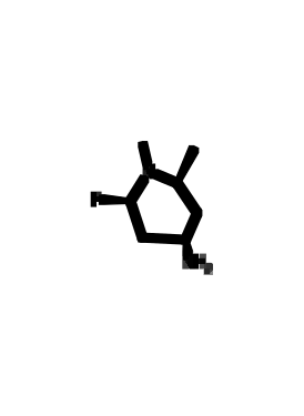 C[C@H]1C[C@@H](N)C[C@@H](F)N1C